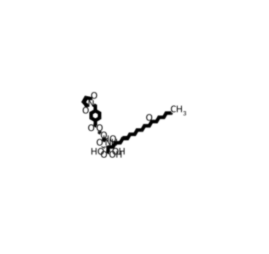 CCCCCCC(=O)CCCCCC/C=C/C[C@@H](O)[C@H](O)[C@](CO)(NC(=O)OCOC(=O)C1CCC(CN2C(=O)C=CC2=O)CC1)C(=O)O